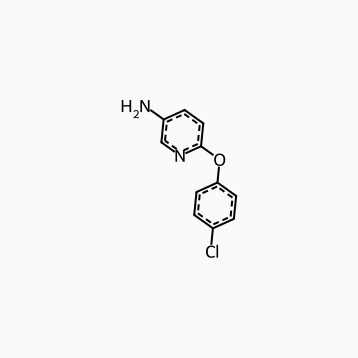 Nc1ccc(Oc2ccc(Cl)cc2)nc1